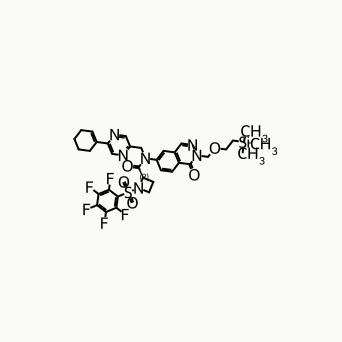 C[Si](C)(C)CCOCn1ncc2cc(N(Cc3cnc(C4=CCCCC4)cn3)C(=O)[C@H]3CCN3S(=O)(=O)c3c(F)c(F)c(F)c(F)c3F)ccc2c1=O